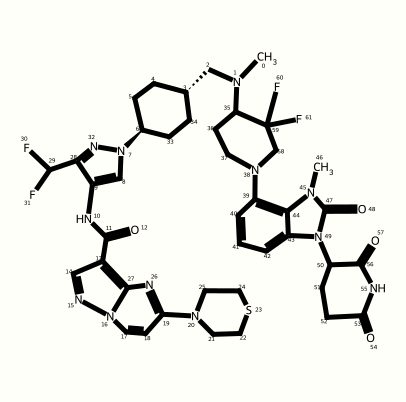 CN(C[C@H]1CC[C@H](n2cc(NC(=O)c3cnn4ccc(N5CCSCC5)nc34)c(C(F)F)n2)CC1)C1CCN(c2cccc3c2n(C)c(=O)n3C2CCC(=O)NC2=O)CC1(F)F